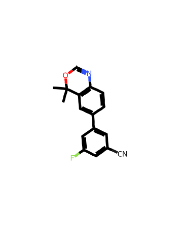 CC1(C)O[C]=Nc2ccc(-c3cc(F)cc(C#N)c3)cc21